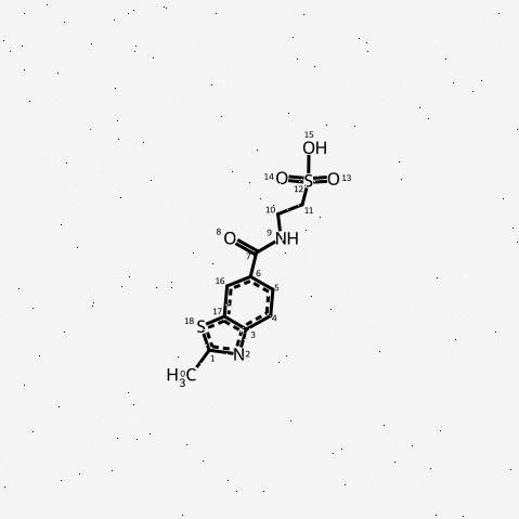 Cc1nc2ccc(C(=O)NCCS(=O)(=O)O)cc2s1